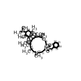 CO[C@]1(C)C[C@@H](C)CN(C)CCCN(S(=O)(=O)Cc2ccccc2)CCOC(=O)C(C)(C)C(=O)[C@H](C)[C@H]1O[C@@H]1O[C@H](C)C[C@H](N(C)C)[C@H]1O